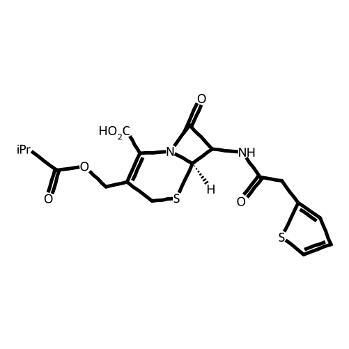 CC(C)C(=O)OCC1=C(C(=O)O)N2C(=O)C(NC(=O)Cc3cccs3)[C@H]2SC1